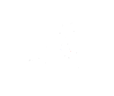 COc1ccc2c(c1)cc(C1(O)C=CC(=O)C=C1)n2S(=O)(=O)c1ccccc1